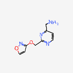 NCc1ccnc(COc2ccon2)n1